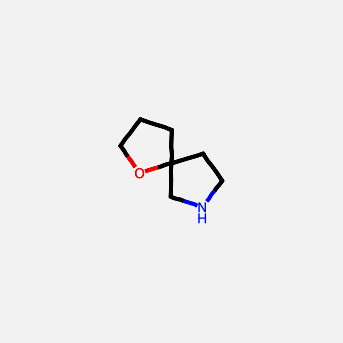 C1COC2(C1)CCNC2